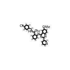 COc1ccc2nc(-c3cccnc3)nc(Nc3ccccc3C(=O)NCc3ccc(Cl)cc3)c2c1